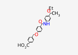 CCOC(C)c1ccc(NC(=O)c2ccc(OCc3ccc(C(=O)O)cc3)cc2)cc1